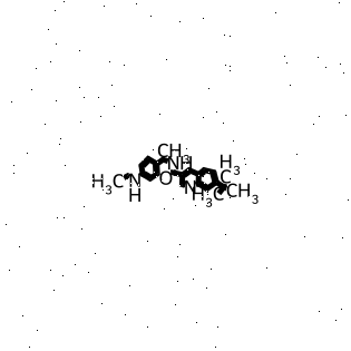 CCNc1ccc([C@@H](C)NC(=O)c2cnc3cc(C(C)(C)C)ccc3c2)cc1